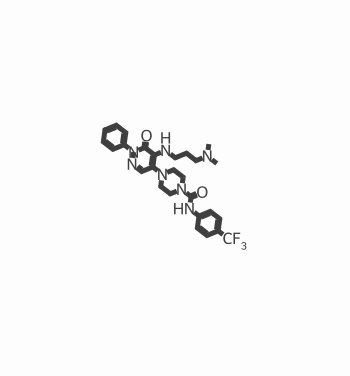 CN(C)CCCNc1c(N2CCN(C(=O)Nc3ccc(C(F)(F)F)cc3)CC2)cnn(-c2ccccc2)c1=O